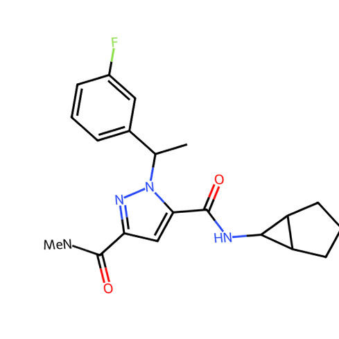 CNC(=O)c1cc(C(=O)NC2C3CCCC32)n(C(C)c2cccc(F)c2)n1